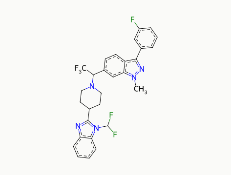 Cn1nc(-c2cccc(F)c2)c2ccc(C(N3CCC(c4nc5ccccc5n4C(F)F)CC3)C(F)(F)F)cc21